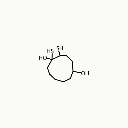 OC1CCCCCC(O)(S)C(S)CC1